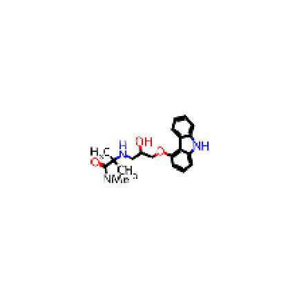 CNC(=O)C(C)(C)NCC(O)COc1cccc2[nH]c3ccccc3c12